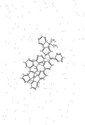 CC1(C)c2ccccc2-c2ccc(N(c3ccccc3)c3ccc(-c4ccc5c(c4)C4(c6ccccc6-5)c5ccccc5-c5c4cc4c6c(cccc56)-c5ccccc5-4)cc3)cc21